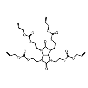 C=CCOC(=O)SCCN1C(=O)N(CCSC(=O)OCC=C)C2C1N(CCSC(=O)OCC=C)C(=O)N2CCSC(=O)OCC=C